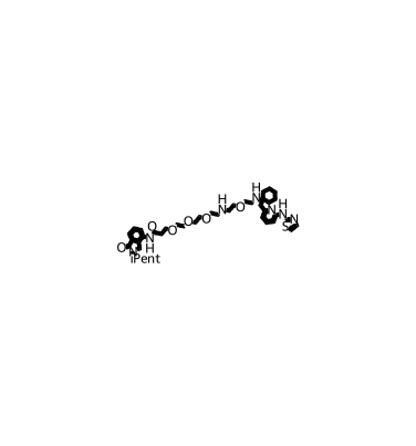 CCCC(C)N1Cc2c(NC(=O)CCOCCOCCOCCNCCOCCNC3(Cc4cccc(Nc5nccs5)n4)CCCCC3)cccc2C1=O